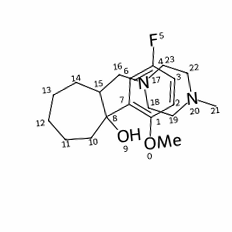 COc1ccc(F)cc1C1(O)CCCCCC1CN1CCN(C)CC1